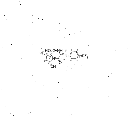 CC(C)(c1ccc(C(F)(F)F)cc1)[C@H](NC(=O)O)C(=O)N1C[C@@H](F)C[C@H]1C#N